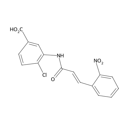 O=C(C=Cc1ccccc1[N+](=O)[O-])Nc1cc(C(=O)O)ccc1Cl